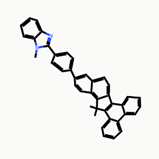 Cn1c(-c2ccc(-c3ccc4c5c(ccc4c3)-c3c(c4ccccc4c4ccccc34)C5(C)C)cc2)nc2ccccc21